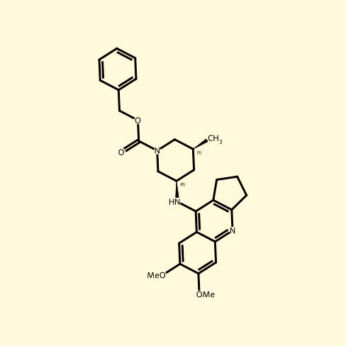 COc1cc2nc3c(c(N[C@@H]4C[C@H](C)CN(C(=O)OCc5ccccc5)C4)c2cc1OC)CCC3